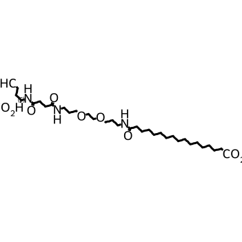 O=[C]CC[C@H](NC(=O)CCC(=O)NCCCOCCOCCCNC(=O)CCCCCCCCCCCCCCCC(=O)O)C(=O)O